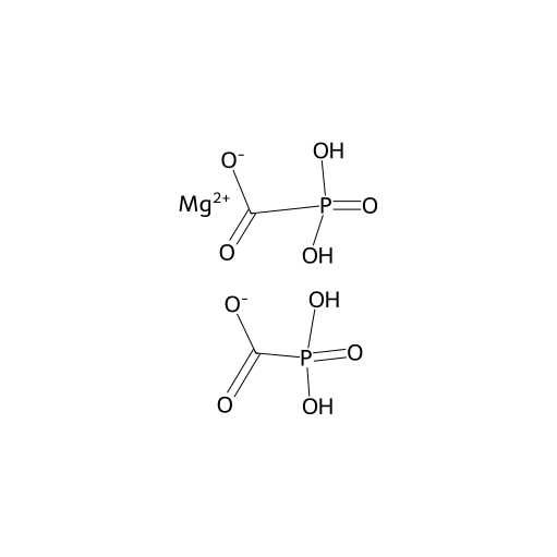 O=C([O-])P(=O)(O)O.O=C([O-])P(=O)(O)O.[Mg+2]